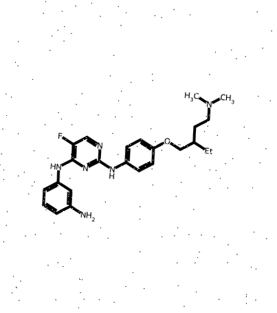 CCC(CCN(C)C)COc1ccc(Nc2ncc(F)c(Nc3cccc(N)c3)n2)cc1